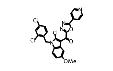 COc1ccc2c(c1)c(C(=O)c1nnc(-c3ccncc3)o1)c(Cl)n2Cc1ccc(Cl)cc1Cl